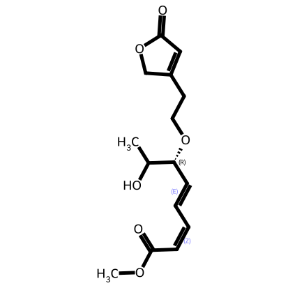 COC(=O)/C=C\C=C\[C@@H](OCCC1=CC(=O)OC1)C(C)O